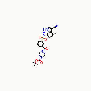 Cc1ccc(NS(=O)(=O)c2cccc(C(=O)N3CCN(C(=O)OC(C)(C)C)CC3)c2)c2[nH]cc(C#N)c12